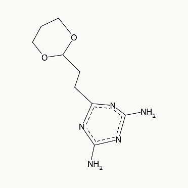 Nc1nc(N)nc(CCC2OCCCO2)n1